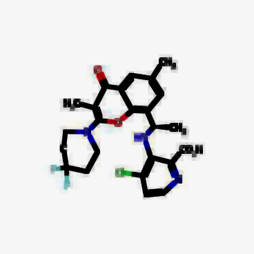 Cc1cc([C@@H](C)Nc2c(Cl)ccnc2C(=O)O)c2oc(N3CCC(F)(F)CC3)c(C)c(=O)c2c1